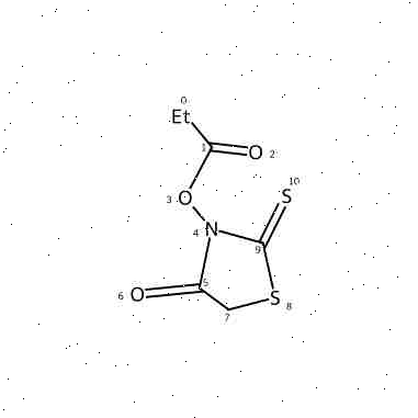 CCC(=O)ON1C(=O)CSC1=S